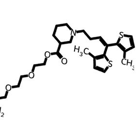 Cc1ccsc1C(=CCCN1CCCC(C(=O)OCCOCCOCCN)C1)c1sccc1C